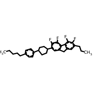 CCCCCc1ccc(C2CCC(c3cc4c(c(F)c3F)-c3c(cc(CCC)c(F)c3F)C4)CC2)cc1